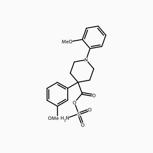 COc1cccc(C2(C(=O)OS(N)(=O)=O)CCN(c3ccccc3OC)CC2)c1